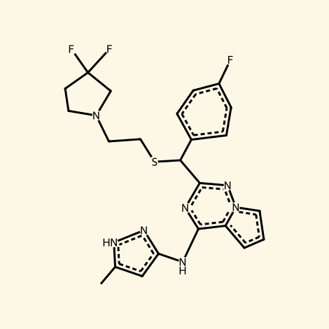 Cc1cc(Nc2nc(C(SCCN3CCC(F)(F)C3)c3ccc(F)cc3)nn3cccc23)n[nH]1